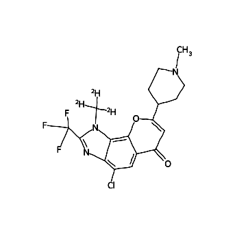 [2H]C([2H])([2H])n1c(C(F)(F)F)nc2c(Cl)cc3c(=O)cc(C4CCN(C)CC4)oc3c21